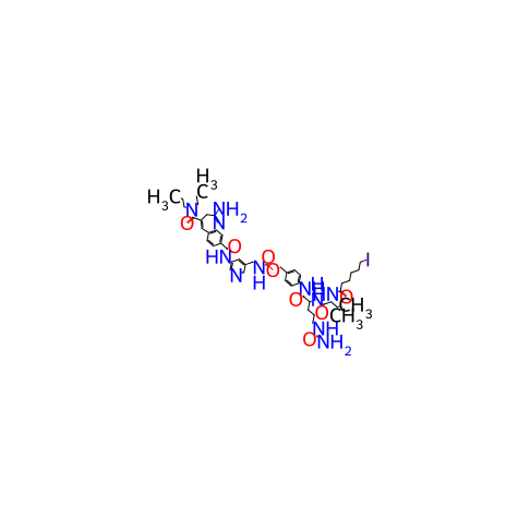 CCCN(CCC)C(=O)C1=Cc2ccc(C(=O)Nc3cncc(CNC(=O)OCc4ccc(NC(=O)C(CCCNC(N)=O)NC(=O)C(NC(=O)CCCCCI)C(C)C)cc4)c3)cc2N=C(N)C1